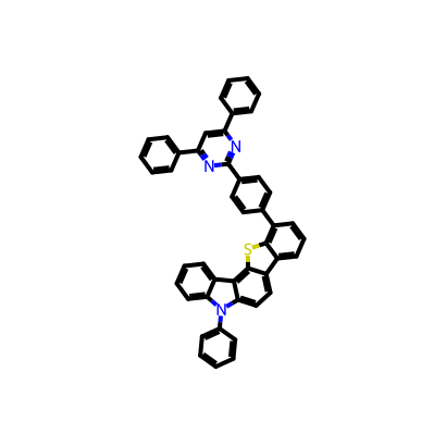 c1ccc(-c2cc(-c3ccccc3)nc(-c3ccc(-c4cccc5c4sc4c5ccc5c4c4ccccc4n5-c4ccccc4)cc3)n2)cc1